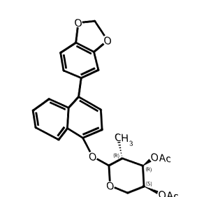 CC(=O)O[C@H]1[C@@H](OC(C)=O)COC(Oc2ccc(-c3ccc4c(c3)OCO4)c3ccccc23)[C@@H]1C